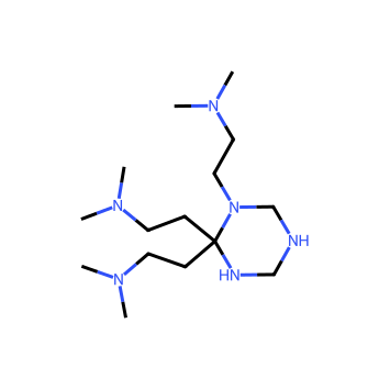 CN(C)CCN1CNCNC1(CCN(C)C)CCN(C)C